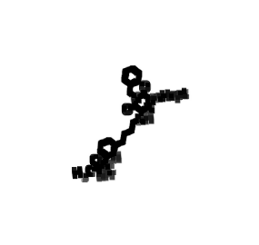 CCCCCCCn1nc(NCCCCc2cccc(SC(C)(CCC)C(=O)O)c2)c(=O)n(Cc2ccccc2)c1=O